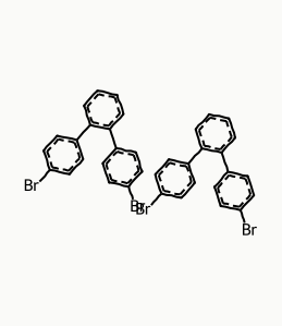 Brc1ccc(-c2ccccc2-c2ccc(Br)cc2)cc1.Brc1ccc(-c2ccccc2-c2ccc(Br)cc2)cc1